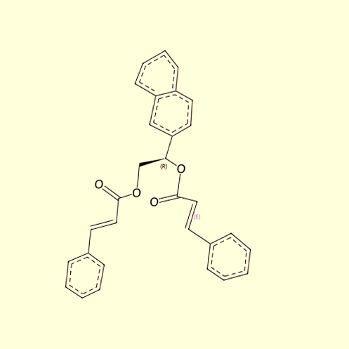 O=C(C=Cc1ccccc1)OC[C@H](OC(=O)/C=C/c1ccccc1)c1ccc2ccccc2c1